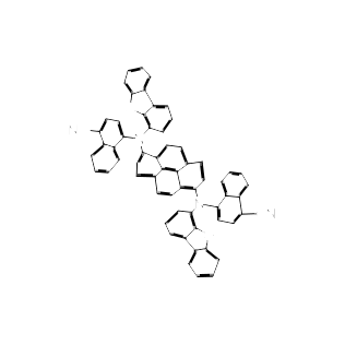 N#Cc1ccc(N(c2ccc3ccc4c(N(c5ccc(C#N)c6ccccc56)c5cccc6c5oc5ccccc56)ccc5ccc2c3c54)c2cccc3c2oc2ccccc23)c2ccccc12